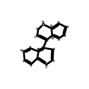 [C]1N=C(c2ccnc3ccncc23)c2ccccc2O1